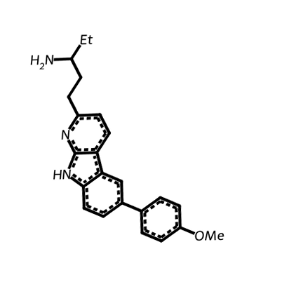 CCC(N)CCc1ccc2c(n1)[nH]c1ccc(-c3ccc(OC)cc3)cc12